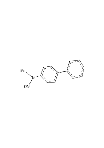 CCC(C)N(N=O)c1ccc(-c2ccccc2)cc1